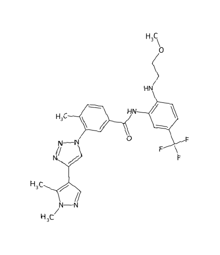 COCCNc1ccc(C(F)(F)F)cc1NC(=O)c1ccc(C)c(-n2cc(-c3cnn(C)c3C)nn2)c1